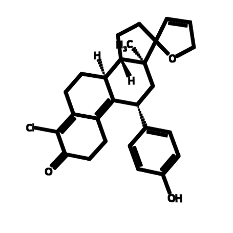 C[C@]12C[C@H](c3ccc(O)cc3)C3=C4CCC(=O)C(Cl)=C4CC[C@H]3[C@@H]1CCC21C=CCO1